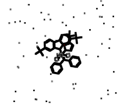 CC(C)(C)C1=C[CH]([Hf]([Cl])([Cl])(=[C](c2ccccc2)c2ccccc2)[CH]2c3cc(C(C)(C)C)ccc3-c3ccc(C(C)(C)C)cc32)C=C1